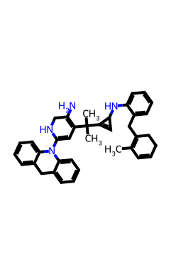 CC1=C(Cc2ccccc2NC2C=C2C(C)(C)C2=C(N)CNC(N3c4ccccc4Cc4ccccc43)=C2)CCC=C1